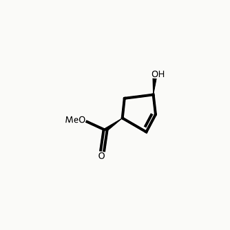 COC(=O)[C@@H]1C=C[C@H](O)C1